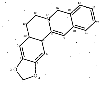 C1=C2OCOC2=CC2C3=Cc4ccccc4CN3CCC12